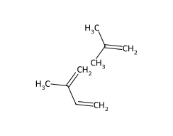 C=C(C)C.C=CC(=C)C